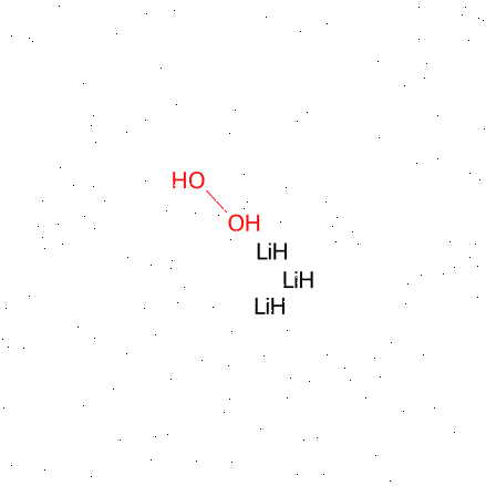 OO.[LiH].[LiH].[LiH]